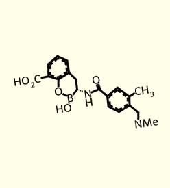 CNCc1ccc(C(=O)N[C@H]2Cc3cccc(C(=O)O)c3OB2O)cc1C